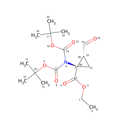 CCOC(=O)[C@@]1(N(C(=O)OC(C)(C)C)C(=O)OC(C)(C)C)C[C@H]1C=O